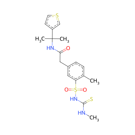 CNC(=S)NS(=O)(=O)c1cc(CC(=O)NC(C)(C)c2ccsc2)ccc1C